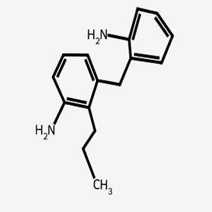 CCCc1c(N)cccc1Cc1ccccc1N